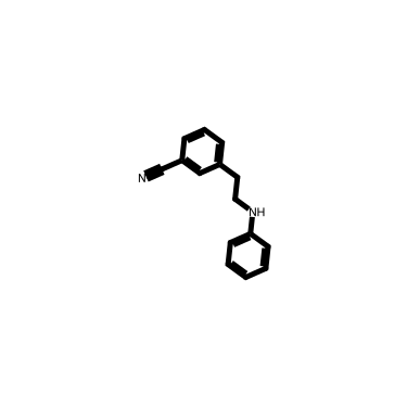 N#Cc1cccc(CCNc2ccccc2)c1